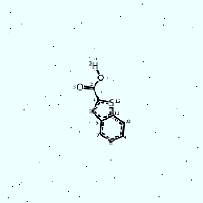 [2H]OC(=O)c1cc2ccccc2s1